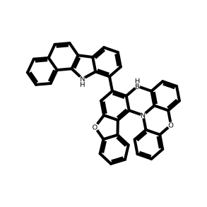 B1c2cccc3c2N(c2ccccc2O3)c2c1c(-c1cccc3c1[nH]c1c4ccccc4ccc31)cc1oc3ccccc3c21